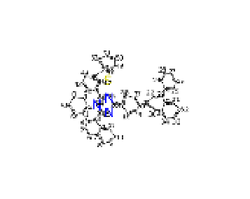 c1ccc(-c2ccc3ccccc3c2-c2nc(-c3ccc(-c4cc(-c5ccccc5)c5ccccc5c4)cc3)nc(-c3cccc4c3sc3ccccc34)n2)cc1